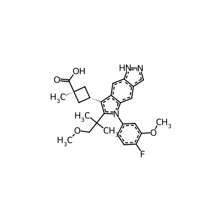 COCC(C)(C)c1c([C@H]2C[C@](C)(C(=O)O)C2)c2cc3[nH]ncc3cc2n1-c1ccc(F)c(OC)c1